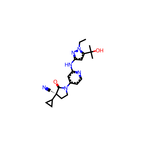 CCn1nc(Nc2cc(N3CC[C@@](C#N)(C4CC4)C3=O)ccn2)cc1C(C)(C)O